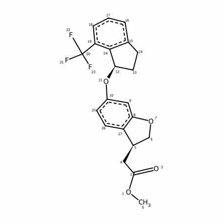 COC(=O)C[C@@H]1COc2cc(O[C@@H]3CCc4cccc(C(F)(F)F)c43)ccc21